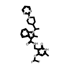 Cc1cc(OC(F)F)c(CNC(=O)c2c(C)n(C(C)C3CCN(c4ncccn4)CC3)c3ccccc23)c(=O)[nH]1